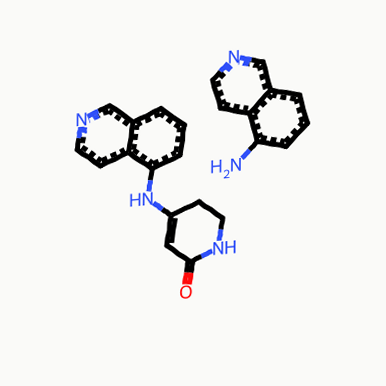 Nc1cccc2cnccc12.O=C1C=C(Nc2cccc3cnccc23)CCN1